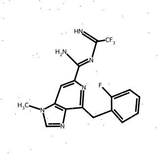 Cn1cnc2c(Cc3ccccc3F)nc(/C(N)=N/C(=N)C(F)(F)F)cc21